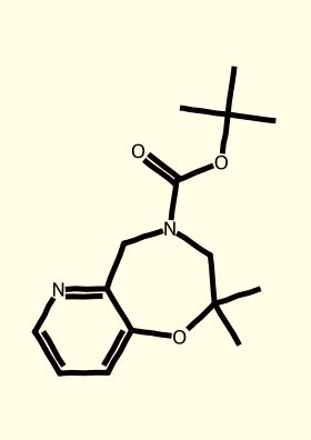 CC(C)(C)OC(=O)N1Cc2ncccc2OC(C)(C)C1